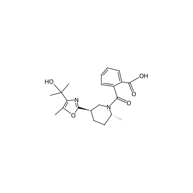 Cc1oc([C@@H]2CC[C@@H](C)N(C(=O)c3ccccc3C(=O)O)C2)nc1C(C)(C)O